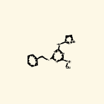 CCCCNc1nc(NCc2ccccc2)nc(Nc2cc[nH]n2)n1